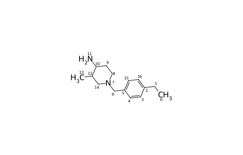 CCc1ccc(CN2CCC(N)C(C)C2)cc1